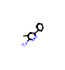 Cc1cc(-c2ccccc2)nnc1N